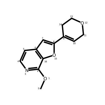 COc1nccc2cc(C3=CCOCC3)oc12